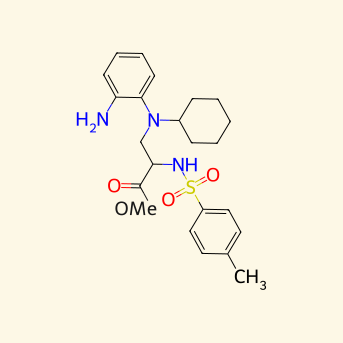 COC(=O)C(CN(c1ccccc1N)C1CCCCC1)NS(=O)(=O)c1ccc(C)cc1